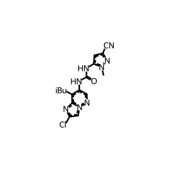 CCC(C)c1c(NC(=O)Nc2cc(C#N)nn2C)cnn2cc(Cl)nc12